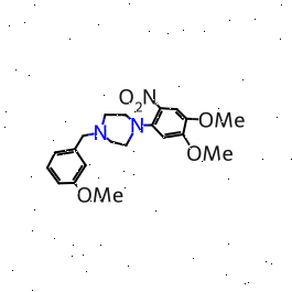 COc1cccc(CN2CCN(c3cc(OC)c(OC)cc3[N+](=O)[O-])CC2)c1